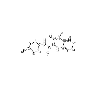 Cn1c(=O)c(C(=O)Nc2ccc(F)cc2)cc2cccnc21